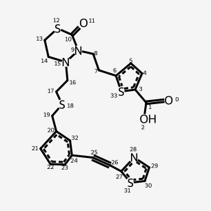 O=C(O)c1ccc(CCN2C(=O)SCCN2CCSCc2cccc(C#Cc3nccs3)c2)s1